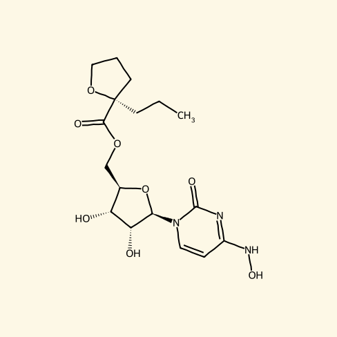 CCC[C@@]1(C(=O)OC[C@H]2O[C@@H](n3ccc(NO)nc3=O)[C@H](O)[C@@H]2O)CCCO1